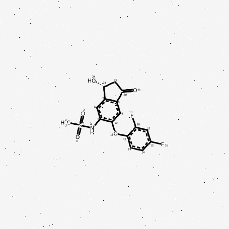 CS(=O)(=O)Nc1cc2c(cc1Oc1ccc(F)cc1F)C(=O)C[C@H]2O